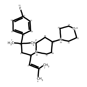 CC(C)=CC(CC(C)(C)c1ccc(F)cc1)N1CCC(N2CCOCC2)CC1